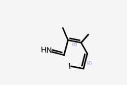 C/C(C=N)=C(C)/C=C\I